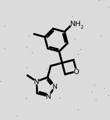 Cc1cc(N)cc(C2(Cc3nncn3C)COC2)c1